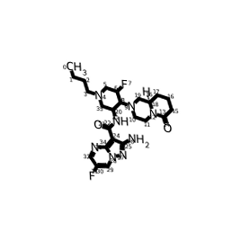 CCCCN1CC(F)C(N2CCN3C(=O)CCC[C@@H]3C2)C(NC(=O)c2c(N)nn3cc(F)cnc23)C1